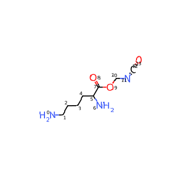 NCCCCC(N)C(=O)OCN=C=O